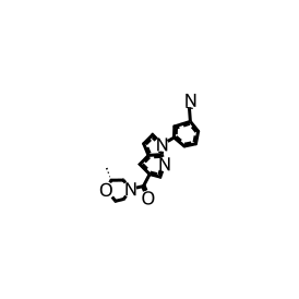 C[C@@H]1CN(C(=O)c2cnc3c(ccn3-c3cccc(C#N)c3)c2)CCO1